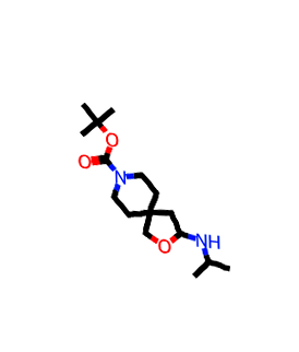 CC(C)NC1CC2(CCN(C(=O)OC(C)(C)C)CC2)CO1